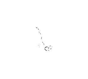 CC[n+]1ccc(OCCOCCOCCN=[N+]=[N-])cc1S(C)(=O)=O.F[B-](F)(F)F